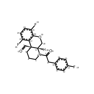 O=C[C@]12CCCN(C(=O)Cc3ccc(F)cc3)[C@H]1COc1c(F)ccc(F)c12